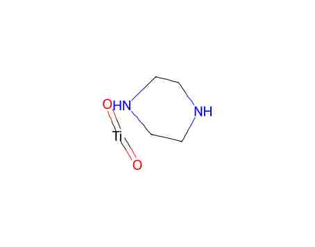 C1CNCCN1.[O]=[Ti]=[O]